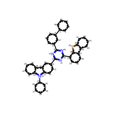 c1ccc(-c2cccc(-c3nc(-c4ccc5c(c4)c4ccccc4n5-c4ccccc4)nc(-c4cccc5c4sc4ccccc45)n3)c2)cc1